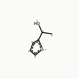 CC(O)c1cccs1